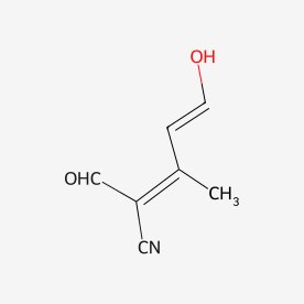 CC(/C=C/O)=C(\C#N)C=O